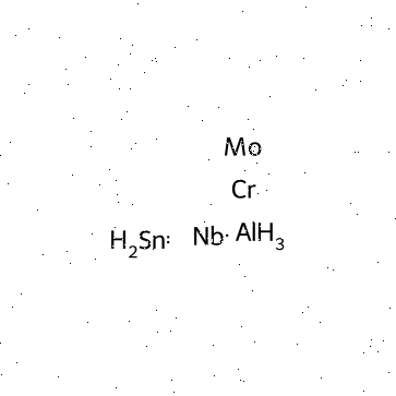 [AlH3].[Cr].[Mo].[Nb].[SnH2]